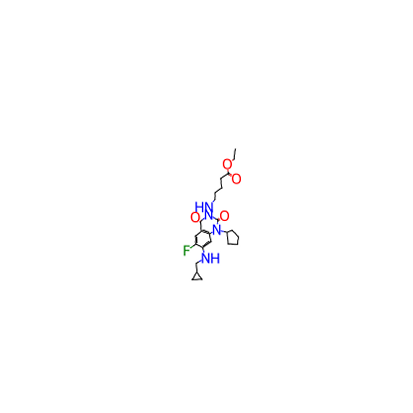 CCOC(=O)CCCCNn1c(=O)c2cc(F)c(NCC3CC3)cc2n(C2CCCC2)c1=O